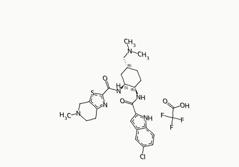 CN(C)C[C@@H]1CC[C@@H](NC(=O)c2cc3cc(Cl)ccc3[nH]2)[C@@H](NC(=O)c2nc3c(s2)CN(C)CC3)C1.O=C(O)C(F)(F)F